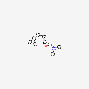 c1ccc(-c2nc(-c3ccccc3)nc(-c3ccc4c(c3)oc3ccc(-c5cccc(-c6cccc(-c7ccc8c9ccccc9c9ccccc9c8c7)c6)c5)cc34)n2)cc1